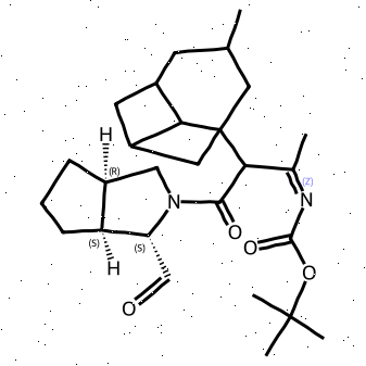 C/C(=N/C(=O)OC(C)(C)C)C(C(=O)N1C[C@@H]2CCC[C@@H]2[C@H]1C=O)C12CC(C)CC3CC(C1)C32